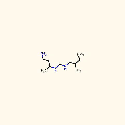 CNCC(C)CNCNC(C)CCN